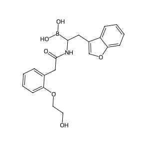 O=C(Cc1ccccc1OCCO)NC(Cc1coc2ccccc12)B(O)O